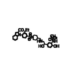 CCOC(=O)c1cc2ccccc2n1-c1ccc(S(=O)(=O)N2CCC(CNCC(O)c3ccc(O)c(NS(C)(=O)=O)c3)CC2)cc1